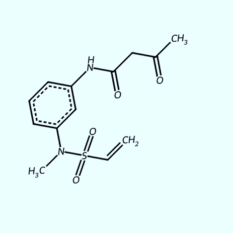 C=CS(=O)(=O)N(C)c1cccc(NC(=O)CC(C)=O)c1